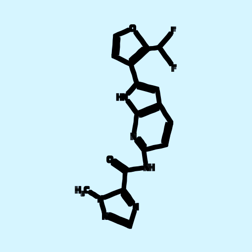 Cn1ncnc1C(=O)Nc1ccc2cc(-c3ccoc3C(F)F)[nH]c2n1